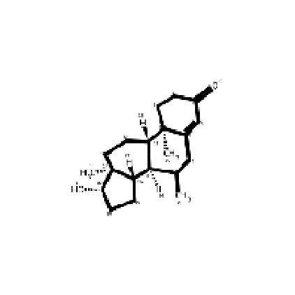 CC1CC2=CC(=O)CC[C@]2(C)[C@H]2CC[C@]3(C)[C@@H](O)CC[C@H]3[C@H]12